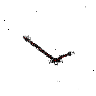 CCCOCCOCCOCCOCCOCCOCCOCCOCCOCCOCCOCCOCCOCCOCCOCCOCCOCCOCCOCCOCCOCCOCCOCCOCCCC(=O)[C@H](CCC(=O)O)NC(=O)CC[C@H](CC(=O)[C@H]1CC[C@@H](CNC(=O)CCCCCCCCCCCCCCCCCCC(=O)O)CC1)C(=O)O